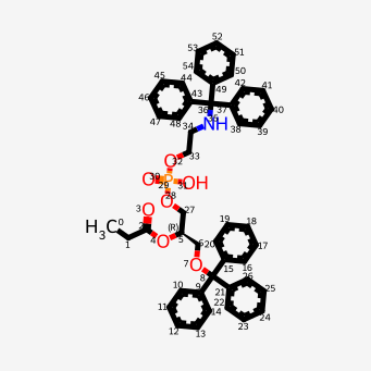 CCC(=O)O[C@H](COC(c1ccccc1)(c1ccccc1)c1ccccc1)COP(=O)(O)OCCNC(c1ccccc1)(c1ccccc1)c1ccccc1